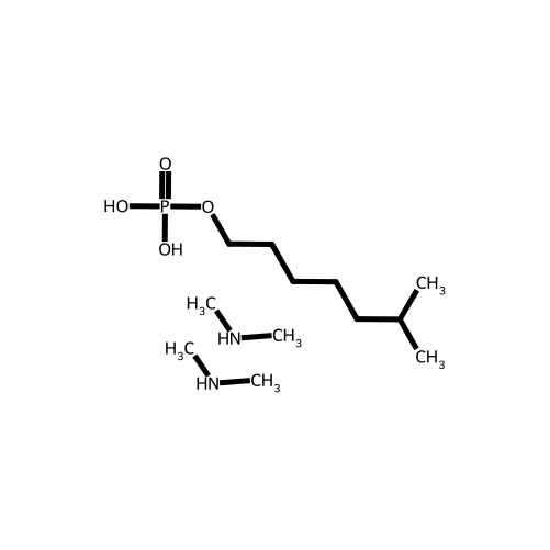 CC(C)CCCCCOP(=O)(O)O.CNC.CNC